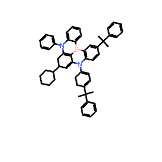 CC(C)(C1=CC=C(N2C3=CC(C4CCCCC4)CC4=C3B(c3cc(C(C)(C)c5ccccc5)ccc32)c2ccccc2N4c2ccccc2)CC1)c1ccccc1